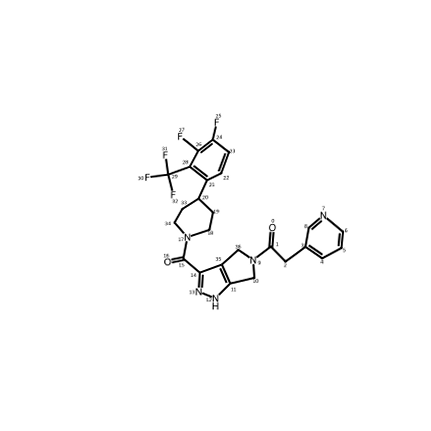 O=C(Cc1cccnc1)N1Cc2[nH]nc(C(=O)N3CCC(c4ccc(F)c(F)c4C(F)(F)F)CC3)c2C1